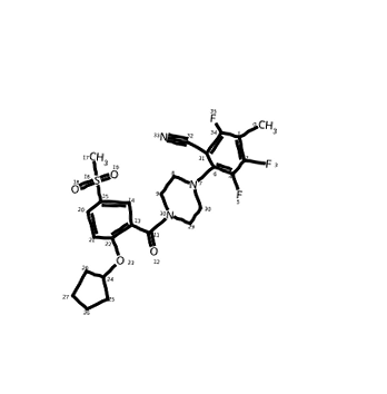 Cc1c(F)c(F)c(N2CCN(C(=O)c3cc(S(C)(=O)=O)ccc3OC3CCCC3)CC2)c(C#N)c1F